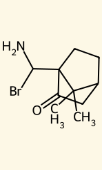 CC1(C)C2CCC1(C(N)Br)C(=O)C2